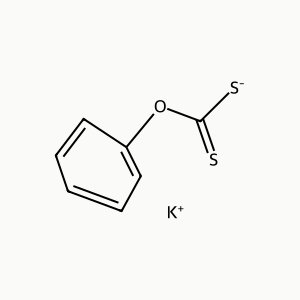 S=C([S-])Oc1ccccc1.[K+]